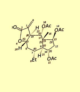 C=C1C(=O)O[C@H]2C[C@@H](CC)[C@@H]3[C@@H](OC(C)=O)C[C@H](OC(C)=O)[C@@]3(C)[C@@H](OC(C)=O)[C@H]12